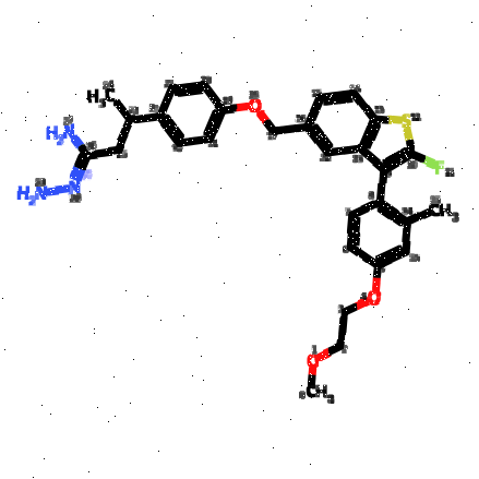 COCCOc1ccc(-c2c(F)sc3ccc(COc4ccc(C(C)C/C(N)=N/N)cc4)cc23)c(C)c1